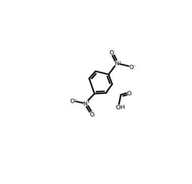 O=CO.O=[N+]([O-])c1ccc([N+](=O)[O-])cc1